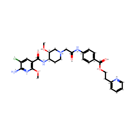 COc1nc(N)c(Cl)cc1C(=O)N[C@@H]1CCN(CC(=O)Nc2ccc(C(=O)OCCc3ccccn3)cc2)C[C@@H]1OC